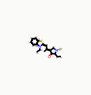 CCC1C(=O)C(=C(C)C=C2Sc3ccccc3N2CC)C[N+]1=S